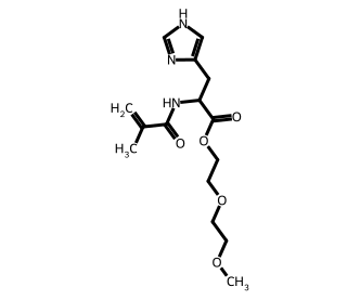 C=C(C)C(=O)NC(Cc1c[nH]cn1)C(=O)OCCOCCOC